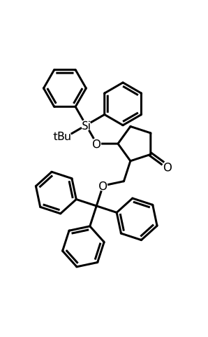 CC(C)(C)[Si](OC1CCC(=O)C1COC(c1ccccc1)(c1ccccc1)c1ccccc1)(c1ccccc1)c1ccccc1